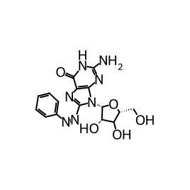 Nc1nc2c(nc(/N=N\c3ccccc3)n2[C@@H]2O[C@H](CO)C(O)[C@@H]2O)c(=O)[nH]1